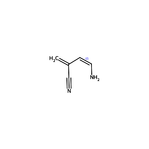 C=C(C#N)/C=C\N